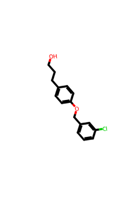 OCCCc1ccc(OCc2cccc(Cl)c2)cc1